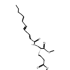 CCCCC/C=C/C=C/C(=O)N[C@@H](CCC(=O)OC)C(=O)OC